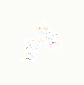 COC(=O)N1[C@H](C)C[C@H](NS(C)(=O)=O)[C@@H]1CO[C@@H]1CC[C@@]2(c3nccs3)C[C@H]2C1